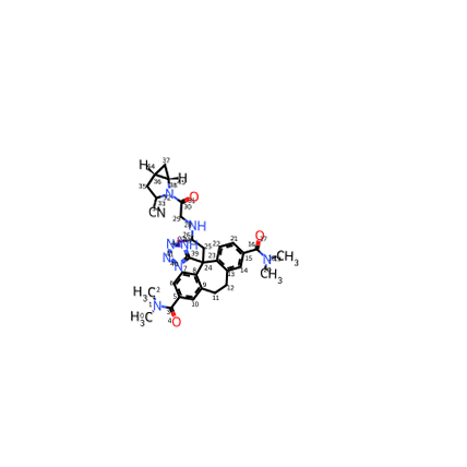 CN(C)C(=O)c1ccc2c(c1)CCc1cc(C(=O)N(C)C)ccc1C2(C[C@@H](I)NCC(=O)N1C(C#N)C[C@@H]2C[C@@H]21)c1nnn[nH]1